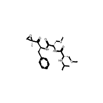 COC[C@H](NC(=O)[C@H](COC)NC(C)C)C(=O)N[C@@H](Cc1ccccc1)C(=O)[C@@]1(C)CO1